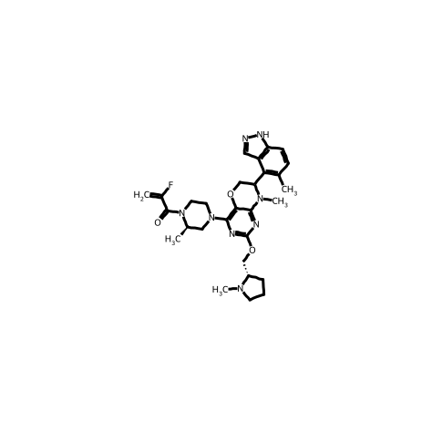 C=C(F)C(=O)N1CCN(c2nc(OC[C@@H]3CCCN3C)nc3c2OCC(c2c(C)ccc4[nH]ncc24)N3C)C[C@H]1C